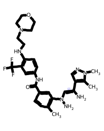 Cc1ccc(C(=O)Nc2ccc(NCCN3CCOCC3)c(C(F)(F)F)c2)cc1N(N)/C=C(\N)c1cnn(C)c1C